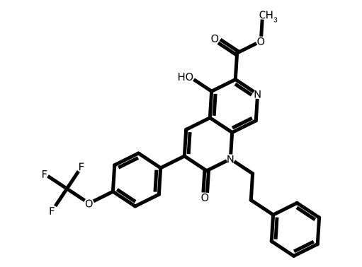 COC(=O)c1ncc2c(cc(-c3ccc(OC(F)(F)F)cc3)c(=O)n2CCc2ccccc2)c1O